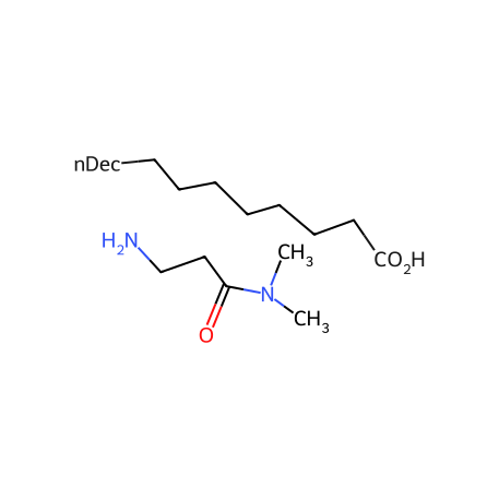 CCCCCCCCCCCCCCCCCC(=O)O.CN(C)C(=O)CCN